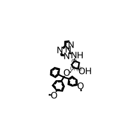 COc1ccc(C(OC[C@@H]2C[C@@H](Nc3ncnc4ccnn34)C[C@@H]2O)(c2ccccc2)c2ccc(OC)cc2)cc1